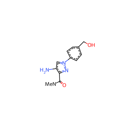 CNC(=O)c1nn(-c2ccc(CO)cc2)cc1N